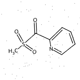 CS(=O)(=O)C(=O)c1ccccn1